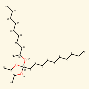 CCCCCCCCCC[Si](OCC)(OCC)OC(C)CCCCCCCC